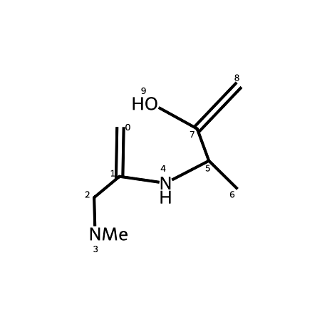 C=C(CNC)NC(C)C(=C)O